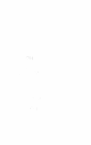 CCCCC(CC)CC1C(C(=O)O)CCCC1(CC(CC)CCCC)C(=O)O